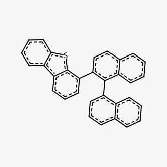 c1ccc2c(-c3c(-c4cccc5c4sc4ccccc45)ccc4ccccc34)cccc2c1